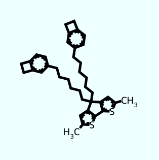 Cc1cc2c(s1)-c1sc(C)cc1C2(CCCCCCc1ccc2c(c1)CC2)CCCCCCc1ccc2c(c1)CC2